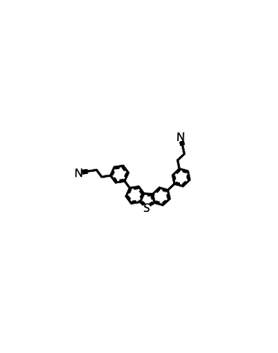 N#CCCc1cccc(-c2ccc3sc4ccc(-c5cccc(CCC#N)c5)cc4c3c2)c1